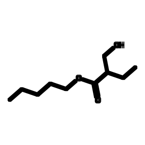 CCCCCOC(=O)C(CC)CO